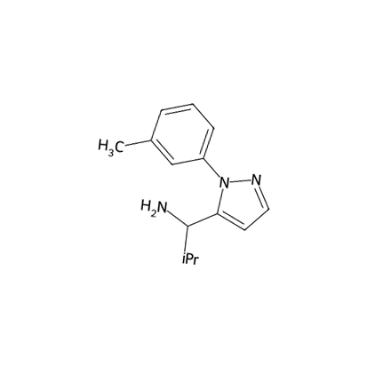 Cc1cccc(-n2nccc2C(N)C(C)C)c1